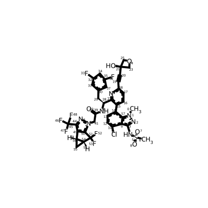 Cn1nc(NS(C)(=O)=O)c2c(Cl)ccc(-c3ccc(C#CC4(O)COC4)nc3[C@H](Cc3cc(F)cc(F)c3)NC(=O)Cn3nc(C(F)(F)F)c4c3C(F)(F)[C@@H]3C[C@H]43)c21